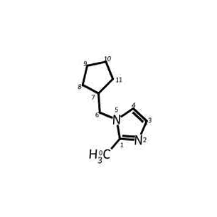 Cc1n[c]cn1CC1CCCC1